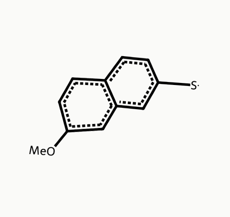 COc1ccc2ccc([S])cc2c1